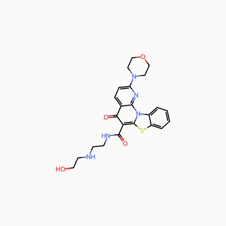 O=C(NCCNCCO)c1c(=O)c2ccc(N3CCOCC3)nc2n2c1sc1ccccc12